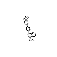 CS(=O)(=O)N1CCN(c2ccc(N3CCN(C(=O)O)c4ccccc43)cc2)CC1